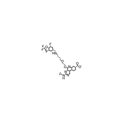 COC(=O)c1ccc2c(c1)nc(OCCOCCCCNCc1cc(F)c(OC(F)(F)F)c(F)c1)c1nc(NC3CC3)ncc12